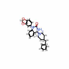 NC(=O)N(c1ccc2c(c1)OCO2)c1ccccc1CN1CCC(Cc2ccccc2)CC1